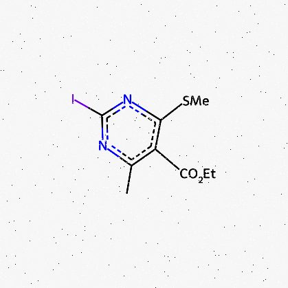 CCOC(=O)c1c(C)nc(I)nc1SC